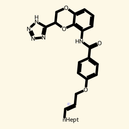 CCCCCCC/C=C/COc1ccc(C(=O)Nc2cccc3c2OC(c2nnn[nH]2)CO3)cc1